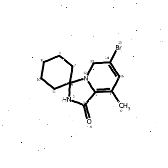 CC1=C2C(=O)NC3(CCCCC3)N2CC(Br)=C1